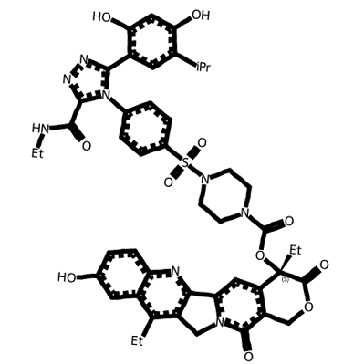 CCNC(=O)c1nnc(-c2cc(C(C)C)c(O)cc2O)n1-c1ccc(S(=O)(=O)N2CCN(C(=O)O[C@]3(CC)C(=O)OCc4c3cc3n(c4=O)Cc4c-3nc3ccc(O)cc3c4CC)CC2)cc1